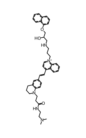 CN(C)CCNC(=O)CCN1CCCc2cc(C=Cc3cc[n+](CCCNCC(O)COc4cccc5ccccc45)c4ccccc34)ccc21